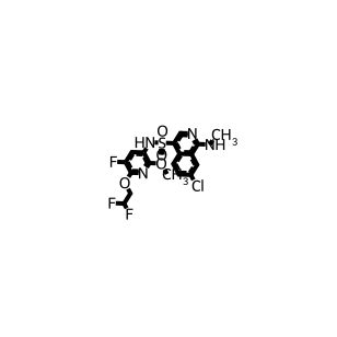 CNc1ncc(S(=O)(=O)Nc2cc(F)c(OCC(F)F)nc2OC)c2ccc(Cl)cc12